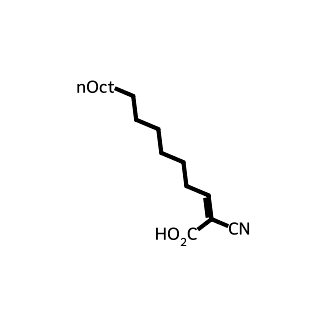 CCCCCCCCCCCCCCC=C(C#N)C(=O)O